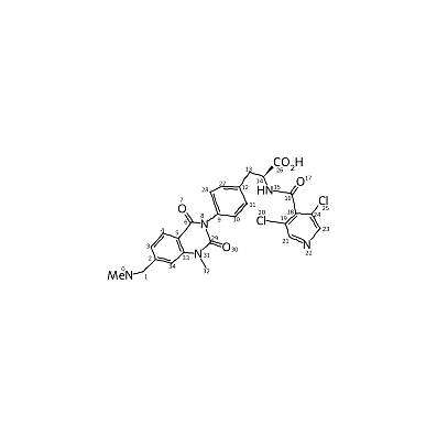 CNCc1ccc2c(=O)n(-c3ccc(C[C@H](NC(=O)c4c(Cl)cncc4Cl)C(=O)O)cc3)c(=O)n(C)c2c1